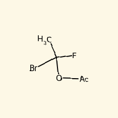 CC(=O)OC(C)(F)Br